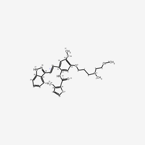 COCCN(C)CCCOc1cc(NC(=O)c2sccc2C)c(/C=C/c2n[nH]c3ccccc23)cc1OC